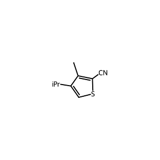 Cc1c(C(C)C)csc1C#N